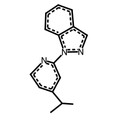 CC(C)c1ccnc(-n2ncc3ccccc32)c1